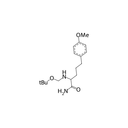 COc1ccc(CCCC(NCOC(C)(C)C)C(N)=O)cc1